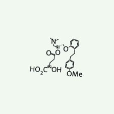 COc1ccc(CCc2ccccc2OC[C@@H](CN(C)C)OC(=O)CC[C@@H](O)C(=O)O)cc1